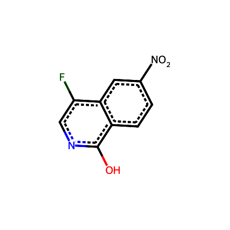 O=[N+]([O-])c1ccc2c(O)ncc(F)c2c1